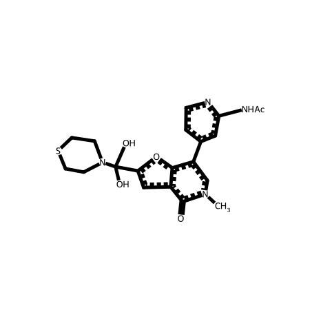 CC(=O)Nc1cc(-c2cn(C)c(=O)c3cc(C(O)(O)N4CCSCC4)oc23)ccn1